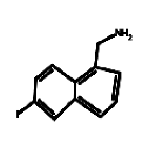 NCc1cccc2cc(I)ccc12